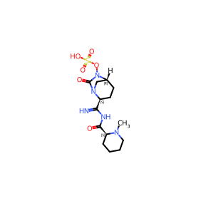 CN1CCCC[C@H]1C(=O)NC(=N)[C@@H]1CC[C@@H]2CN1C(=O)N2OS(=O)(=O)O